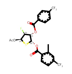 CC(=O)O[C@@H]1S[C@@H](OC(=O)c2ccc(C(F)(F)F)cc2C)[C@@H](OC(=O)c2ccc(C(F)(F)F)cc2)[C@@H]1F